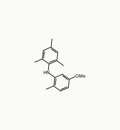 COc1ccc(C)c(Nc2c(C)cc(C)cc2C)c1